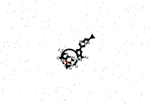 CC(=O)c1nn2c3c(cc(-c4cnc5cc(C6CC6)nn5c4)cc13)CCCCCCC(=O)NC[C@@]13C[C@@H](C(=O)Nc4nc(C(F)(F)F)ccc4C)N(C(=O)C2)[C@@H]1C3